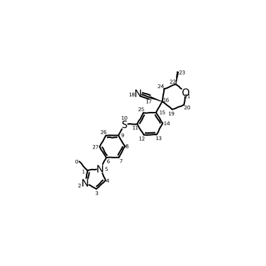 Cc1nccn1-c1ccc(Sc2cccc([C@@]3(C#N)CCO[C@H](C)C3)c2)cc1